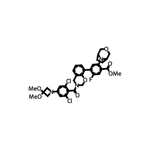 COC(=O)c1cc(F)c(-c2cccc3c2OCN(C(=O)c2c(Cl)cc(N4CC(OC)(OC)C4)cc2Cl)C3)cc1N1C2CCC1COC2